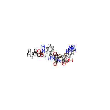 CC(C)(C)OC(=O)NCc1ccccc1CC(=O)NC1C(=O)N2CC(CSc3ccc4nnnn4n3)(C(=O)O)CS[C@H]12